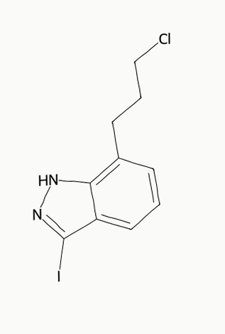 ClCCCc1cccc2c(I)n[nH]c12